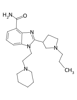 CCCN1CCC(c2nc3c(C(N)=O)cccc3n2CCN2CCCCC2)C1